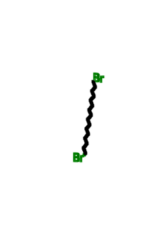 BrCCCCCCCCCCCCCCCCBr